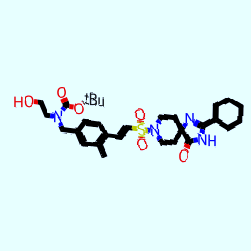 Cc1cc(CN(CCO)C(=O)OC(C)(C)C)ccc1C=CS(=O)(=O)N1CCC2(CC1)N=C(C1CCCCC1)NC2=O